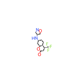 O=c1cc(C(F)(F)F)c2ccc(Nc3cnoc3)cc2o1